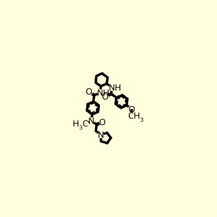 COc1ccc(C(=O)NC2CCCCC2NC(=O)c2ccc(N(C)C(=O)CN3CCCC3)cc2)cc1